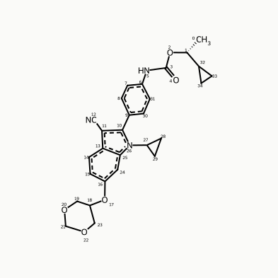 C[C@@H](OC(=O)Nc1ccc(-c2c(C#N)c3ccc(OC4COCOC4)cc3n2C2CC2)cc1)C1CC1